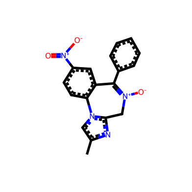 Cc1cn2c(n1)C[N+]([O-])=C(c1ccccc1)c1cc([N+](=O)[O-])ccc1-2